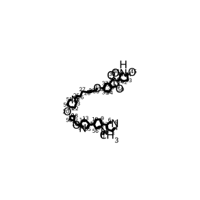 Cn1c2ccncc2c2ccc(-c3ccc(OC4CC(OC5CCN(CCCC#CCOc6ccc7c(c6)C(=O)N(C6CCC(=O)NC6=O)C7=O)CC5)C4)nc3)cc21